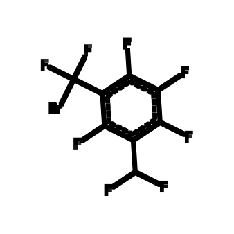 Fc1c(F)c(C(F)F)c(F)c(C(F)(F)Br)c1F